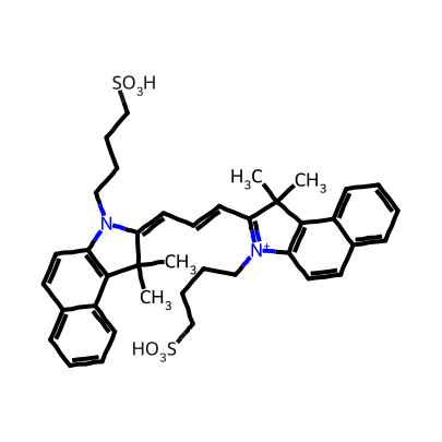 CC1(C)C(C=C/C=C2/N(CCCCS(=O)(=O)O)c3ccc4ccccc4c3C2(C)C)=[N+](CCCCS(=O)(=O)O)c2ccc3ccccc3c21